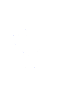 O=C1NCc2c1ncnc2-c1cc(-c2cc(Cl)cc(OC(F)(F)F)c2)n(-c2cccnc2)n1